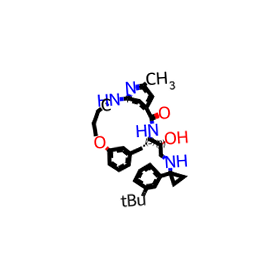 Cc1cc2cc(n1)NCCCCOc1cccc(c1)C[C@@H]([C@H](O)CNC1(c3cccc(C(C)(C)C)c3)CC1)NC2=O